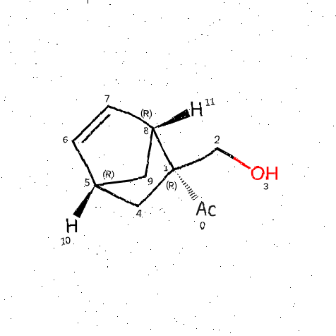 CC(=O)[C@]1(CO)C[C@@H]2C=C[C@H]1C2